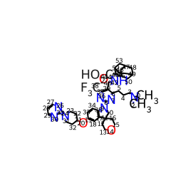 CN(C)CCCc1nc(N2CC3(CCOCC3)c3cc(OC4CCN(c5ncccn5)CC4)ccc32)nc(C(F)(F)F)c1C(=O)NC1(C(=O)O)C2CC3CC(C2)CC1C3